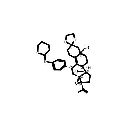 C=C(C)[C@]12CC[C@H]3[C@@H]4CC[C@@]5(O)CC6(CCC5=C4[C@@H](c4ccc(OC5CCCCO5)cc4)C[C@@]31O2)OCCO6